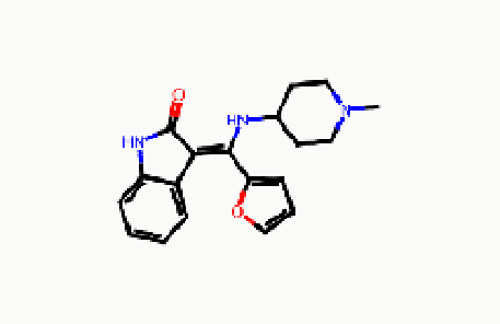 CN1CCC(N/C(=C2\C(=O)Nc3ccccc32)c2ccco2)CC1